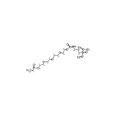 C=CC(=O)OCCOCCOCCOCCOC(=O)NCCC[Si](OCC)(OCC)OCC